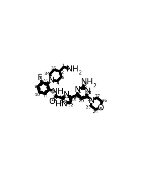 NCC1CCN(c2c(F)cccc2NC(=O)c2nc(-c3cc(N4CCOCC4)nc(N)n3)c[nH]2)CC1